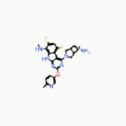 CNc1c(F)cc(F)c2c1[nH]c1nc(Oc3ccc(C)nc3)nc(N3CC4C[C@H](N)C4C3)c12